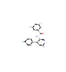 COc1cc(F)ccc1-c1cc(C)ncc1N(C)C(=O)c1cc(Br)cc(C(F)(F)F)c1